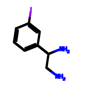 NCC(N)c1cccc(I)c1